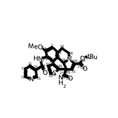 COc1cc2c(cc1NC(=O)c1cccnc1)C1N(CC2)C(C(=O)OC(C)(C)C)=CC1(C(N)=O)c1cccs1